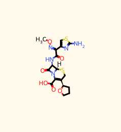 CON=C(C(=O)N[C@@H]1C(=O)N2C(C(=O)O)=C([C@H]3CCCO3)CS[C@H]12)c1csc(N)n1